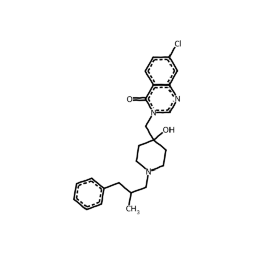 CC(Cc1ccccc1)CN1CCC(O)(Cn2cnc3cc(Cl)ccc3c2=O)CC1